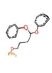 POCCCC(Oc1ccccc1)Oc1ccccc1